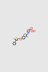 CC1=C(CN2CCC(C)(C(=O)O)C2)CCc2cc(OCc3cc(-c4ccccc4)c(C)s3)ccc21